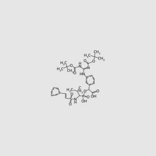 CC(C)C(NS(=O)(=O)C=Cc1ccccc1)P(=O)(O)OC(C(=O)O)c1cccc(NC(=NC(=O)OC(C)(C)C)NC(=O)OC(C)(C)C)c1